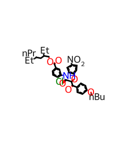 CCCCOc1ccc(C(=O)C(Oc2ccc([N+](=O)[O-])cc2)C(=O)Nc2cc(C(=O)OCC(CC)CC(CC)CCC)ccc2Cl)cc1